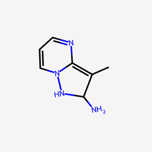 CC1=C2N=CC=CN2NC1N